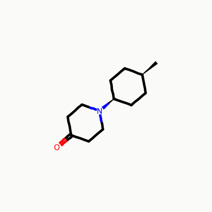 C[C@H]1CC[C@@H](N2CCC(=O)CC2)CC1